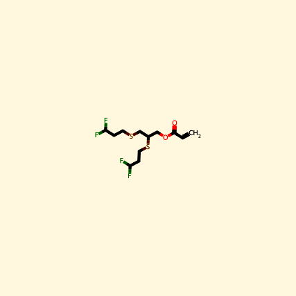 C=CC(=O)OCC(CSCCC(F)F)SCCC(F)F